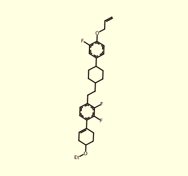 C=CCOc1ccc(C2CCC(CCc3ccc(C4=CCC(OCC)CC4)c(F)c3F)CC2)cc1F